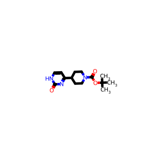 CC(C)(C)OC(=O)N1CCC(c2cc[nH]c(=O)n2)CC1